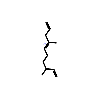 C=CC/C(C)=C/CCC(C)C=C